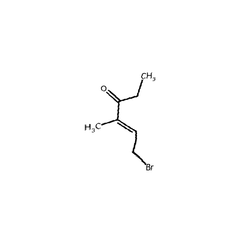 CCC(=O)C(C)=CCBr